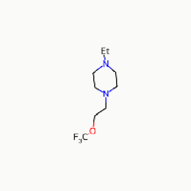 CCN1CCN(CCOC(F)(F)F)CC1